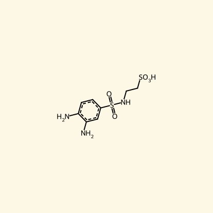 Nc1ccc(S(=O)(=O)NCCS(=O)(=O)O)cc1N